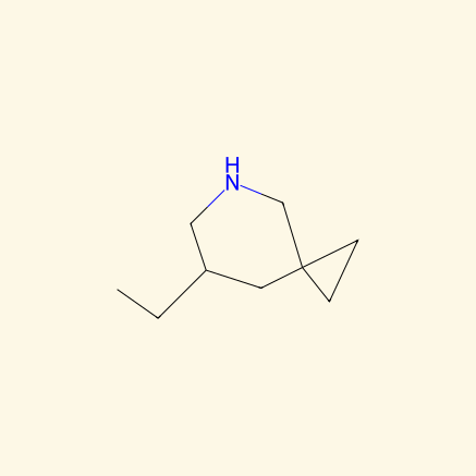 CCC1CNCC2(CC2)C1